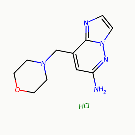 Cl.Nc1cc(CN2CCOCC2)c2nccn2n1